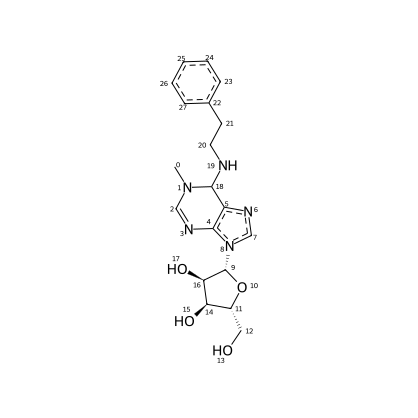 CN1C=Nc2c(ncn2[C@@H]2O[C@H](CO)[C@@H](O)[C@H]2O)C1NCCc1ccccc1